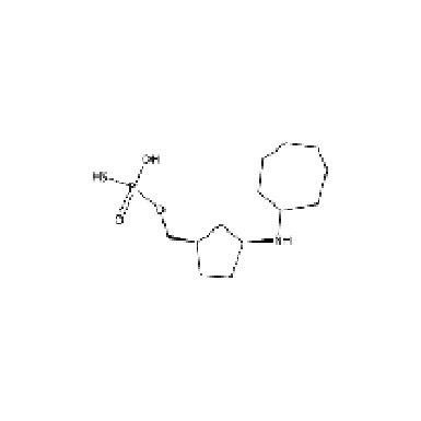 O=P(O)(S)OC[C@@H]1CC[C@H](NC2CCCCCC2)C1